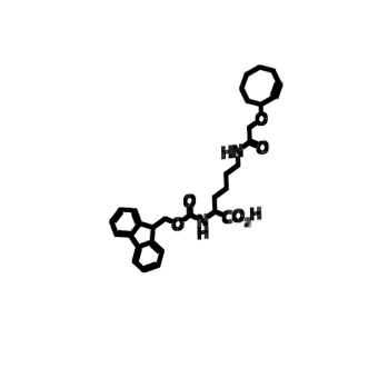 O=C(COC1C#CCCCCC1)NCCCCC(NC(=O)OCC1c2ccccc2-c2ccccc21)C(=O)O